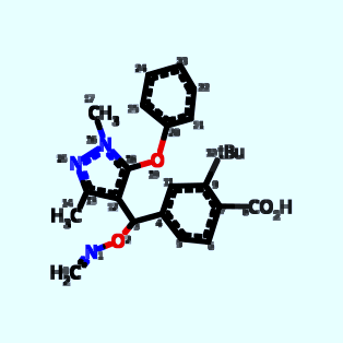 C=NOC(c1ccc(C(=O)O)c(C(C)(C)C)c1)c1c(C)nn(C)c1Oc1ccccc1